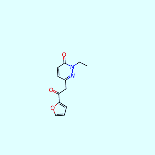 CCn1nc(CC(=O)c2ccco2)ccc1=O